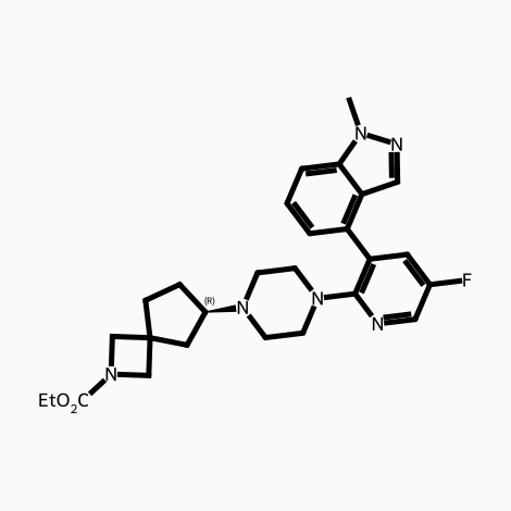 CCOC(=O)N1CC2(CC[C@@H](N3CCN(c4ncc(F)cc4-c4cccc5c4cnn5C)CC3)C2)C1